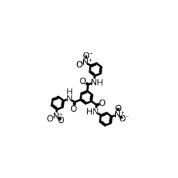 O=C(Nc1cccc([N+](=O)[O-])c1)c1cc(C(=O)Nc2cccc([N+](=O)[O-])c2)cc(C(=O)Nc2cccc([N+](=O)[O-])c2)c1